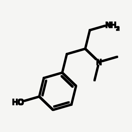 CN(C)C(CN)Cc1cccc(O)c1